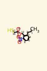 CCCc1cccc([N+](=O)[O-])c1COC(=O)CS